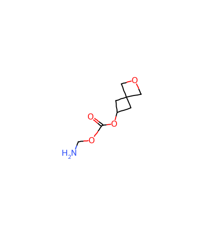 NCOC(=O)OC1CC2(COC2)C1